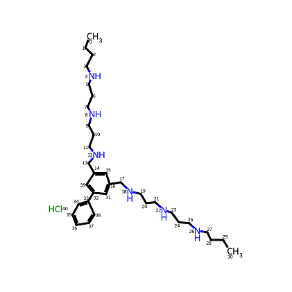 CCCCNCCCNCCCNCc1cc(CNCCCNCCCNCCCC)cc(-c2ccccc2)c1.Cl